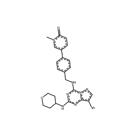 CC(C)c1cnn2c(NCc3ccc(-c4ccc(=O)n(C)c4)cc3)nc(NC3CCOCC3)nc12